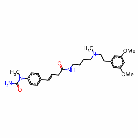 COc1cc(CCN(C)CCCCNC(=O)C/C=C/c2ccc(N(C)C(N)=O)cc2)cc(OC)c1